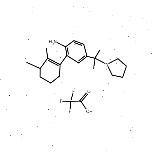 CC1=C(c2cc(C(C)(C)N3CCCC3)ccc2N)CCCC1C.O=C(O)C(F)(F)F